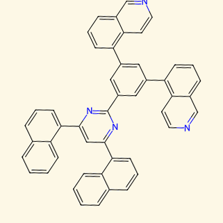 c1cc(-c2cc(-c3nc(-c4cccc5ccccc45)cc(-c4cccc5ccccc45)n3)cc(-c3cccc4cnccc34)c2)c2ccncc2c1